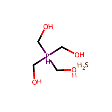 OC[PH](CO)(CO)CO.S